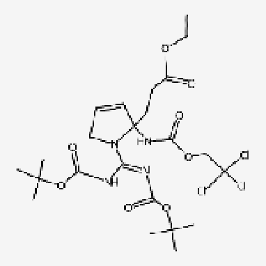 CCOC(=O)CCC1(NC(=O)OCC(Cl)(Cl)Cl)C=CCN1C(=NC(=O)OC(C)(C)C)NC(=O)OC(C)(C)C